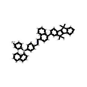 CC1(C)C2=C(c3ccccc31)C(C)(C)c1cc(-c3ccc(/C=C/c4ccc(N(c5ccc(F)cc5)c5cccc6ccccc56)cc4)c4ccccc34)ccc12